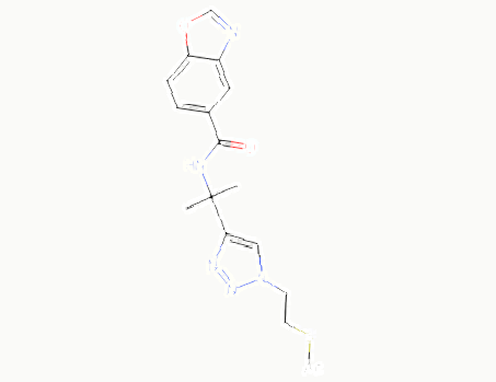 CC(=O)SCCn1cc(C(C)(C)NC(=O)c2ccc3ocnc3c2)nn1